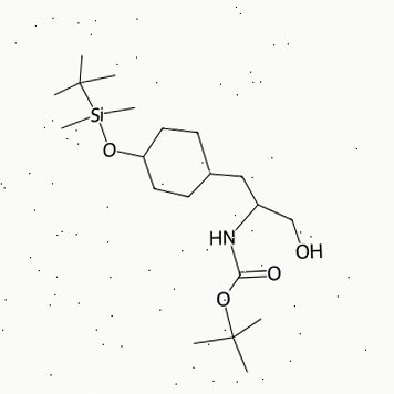 CC(C)(C)OC(=O)NC(CO)CC1CCC(O[Si](C)(C)C(C)(C)C)CC1